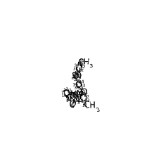 CCCCN(C(=O)c1nc2ccccc2o1)C(=O)C1(NC(=O)c2ccc(-c3csc(N4CCN(C)CC4)n3)cc2)CCCCC1